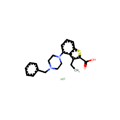 CCc1c(C(=O)O)sc2cccc(N3CCN(Cc4ccccc4)CC3)c12.Cl